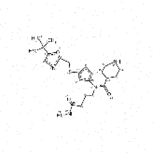 CC(C)(C)c1cnc(CSc2cnc(N(CCCC(=O)NO)C(=O)C3CCNCC3)s2)o1